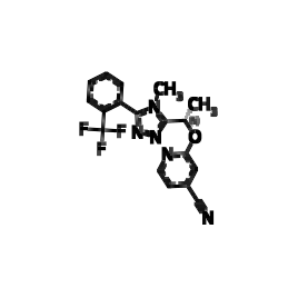 C[C@H](Oc1cc(C#N)ccn1)c1nnc(-c2ccccc2C(F)(F)F)n1C